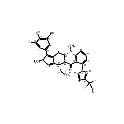 CC[C@H]1Cc2c(nn(C)c2-c2cc(F)c(F)c(F)c2)[C@@H](CC)N1C(=O)c1ccccc1-n1ncc(C(F)(F)F)n1